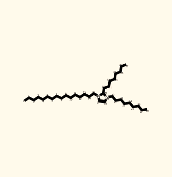 CCCCCCCCCCCCCCCCN1C=CN(CCCCCCCCC)C1CCCCCCCC